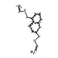 C=COCc1ccc2c(COC=C)cccc2c1